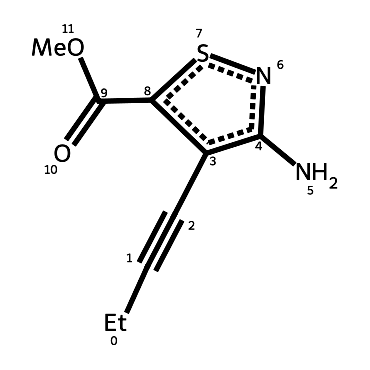 CCC#Cc1c(N)nsc1C(=O)OC